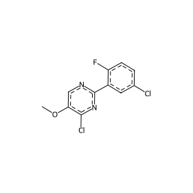 COc1cnc(-c2cc(Cl)ccc2F)nc1Cl